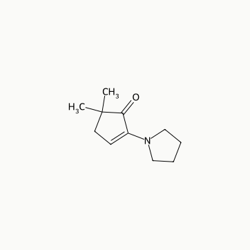 CC1(C)CC=C(N2CCCC2)C1=O